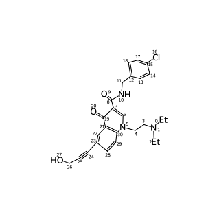 CCN(CC)CCn1cc(C(=O)NCc2ccc(Cl)cc2)c(=O)c2cc(C#CCO)ccc21